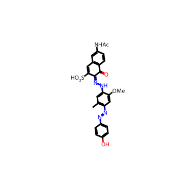 COc1cc(/N=N/c2ccc(O)cc2)c(C)cc1N/N=C1\C(=O)c2ccc(NC(C)=O)cc2C=C1S(=O)(=O)O